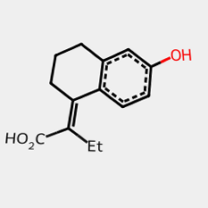 CC/C(C(=O)O)=C1/CCCc2cc(O)ccc21